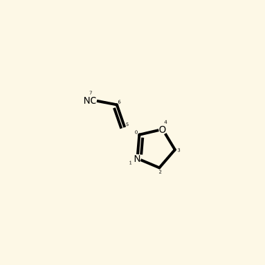 C1=NCCO1.C=CC#N